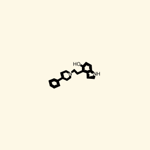 Oc1ccc2[nH]ccc2c1CCN1CC=C(c2ccccc2)CC1